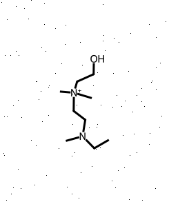 CCN(C)CC[N+](C)(C)CCO